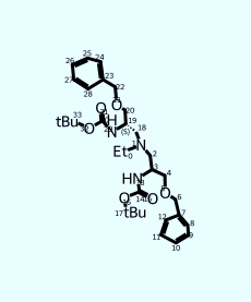 CCN(CC(COCc1ccccc1)NC(=O)OC(C)(C)C)C[C@@H](COCc1ccccc1)NC(=O)OC(C)(C)C